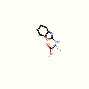 C[C@@H](Nc1nc2ccccc2o1)C(=O)O